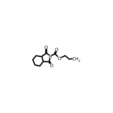 CCCOC(=O)N1C(=O)C2CCCCC2C1=O